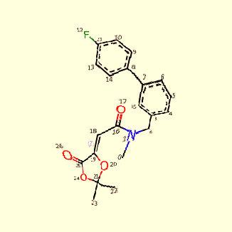 CN(Cc1cccc(-c2ccc(F)cc2)c1)C(=O)/C=C1\OC(C)(C)OC1=O